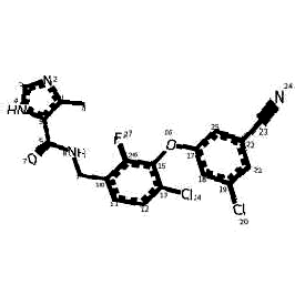 Cc1nc[nH]c1C(=O)NCc1ccc(Cl)c(Oc2cc(Cl)cc(C#N)c2)c1F